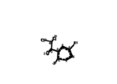 O=C(c1cc(F)ccc1F)C(Cl)Cl